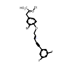 CCO[C@@H](Cc1ccc(OC/C=C/C#Cc2cc(F)cc(F)c2)c(Br)c1)C(=O)O